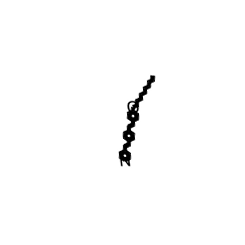 C=CCCCCCCCCOc1ccc(C=Cc2ccc(C=Cc3ccncc3)cc2)cc1